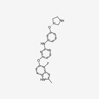 Cc1cc2c(F)c(Oc3ccnc(Nc4cccc(O[C@@H]5CCNC5)c4)n3)ccc2[nH]1